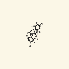 COC1N(c2c(C)cc(C)cc2C)C=CN1c1c(C)cc(C)cc1C